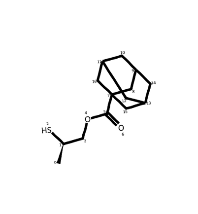 C[C@@H](S)COC(=O)C12CC3CC(CC(C3)C1)C2